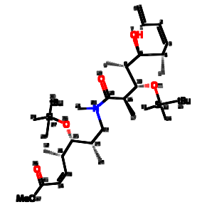 C=C/C=C\[C@H](C)[C@H](O)[C@@H](C)[C@H](O[Si](C)(C)C(C)(C)C)[C@@H](C)C(=O)N(C)C[C@H](C)[C@@H](O[Si](C)(C)C(C)(C)C)[C@@H](C)/C=C\C(=O)OC